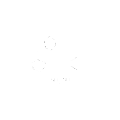 CC1C=C(C(N)OC(N)c2cccc3c2Sc2ccccc2C3(C)C)C=CC1